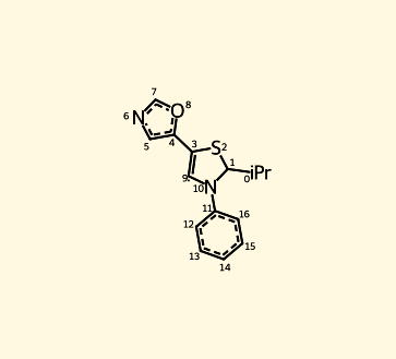 CC(C)C1SC(c2cnco2)=[C]N1c1ccccc1